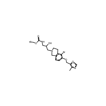 Cc1ncoc1COc1ccc2c(c1Br)CCN(CC(O)CNC(=O)OC(C)(C)C)C2